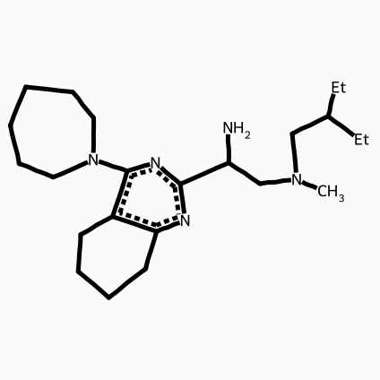 CCC(CC)CN(C)CC(N)c1nc2c(c(N3CCCCCC3)n1)CCCC2